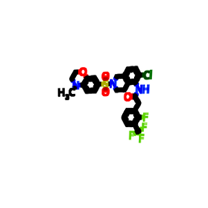 CN1CCOc2cc(S(=O)(=O)N3CCc4c(ccc(Cl)c4NC(=O)Cc4cccc(C(F)(F)F)c4F)C3)ccc21